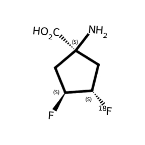 N[C@]1(C(=O)O)C[C@H](F)[C@@H]([18F])C1